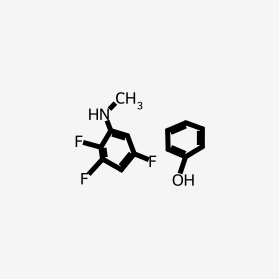 CNc1cc(F)cc(F)c1F.Oc1ccccc1